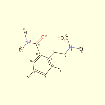 CCN(CCc1c(C)cc(C)cc1C(=O)N(CC)CC)C(=O)O